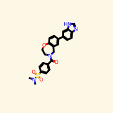 CN(C)S(=O)(=O)c1ccc(C(=O)N2CCOc3ccc(-c4ccc5nc[nH]c5c4)cc3C2)cc1